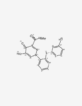 CNC(=O)c1nn(-c2ccccc2Sc2cccc(Cl)c2)cc(O)c1=O